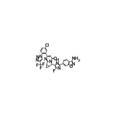 Nc1noc2cc(-c3nc(F)c(C4C5CC5c5nc(-c6cc(Cl)ccc6-n6cc(C(F)(F)F)nn6)cc(=O)n54)[nH]3)ccc12